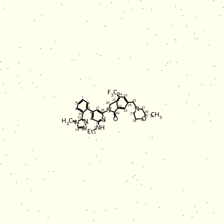 CCNc1cc(-c2ccccc2-c2nncn2C)cc(N2Cc3c(cc(CN4CCO[C@@H](C)C4)cc3C(F)(F)F)C2=O)n1